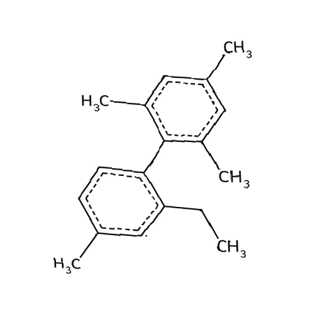 CCc1[c]c(C)ccc1-c1c(C)cc(C)cc1C